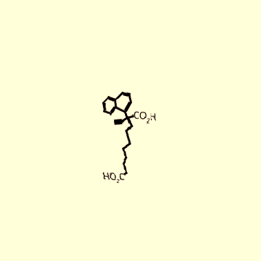 C#CC(CCCCCCCC(=O)O)(C(=O)O)c1cccc2ccccc12